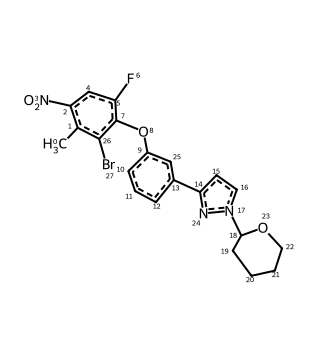 Cc1c([N+](=O)[O-])cc(F)c(Oc2cccc(-c3ccn(C4CCCCO4)n3)c2)c1Br